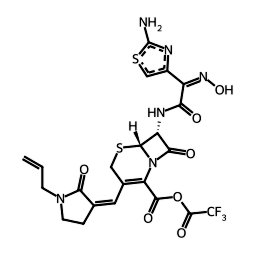 C=CCN1CCC(=CC2=C(C(=O)OC(=O)C(F)(F)F)N3C(=O)[C@@H](NC(=O)/C(=N\O)c4csc(N)n4)[C@H]3SC2)C1=O